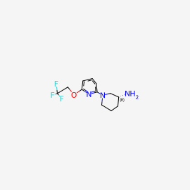 N[C@@H]1CCCN(c2cccc(OCC(F)(F)F)n2)C1